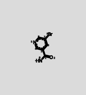 [NH]C(=O)c1cncc(Br)c1